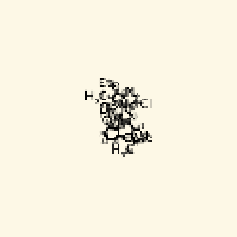 CCO[C@@H](c1ncc(Cl)cn1)[C@H](C)S(=O)(=O)Nc1nnc(-c2cncc(C)c2)n1-c1c(OC)cccc1OC